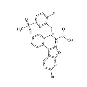 CC(C)(C)[S+]([O-])N[C@@H](Cc1nc(S(C)(=O)=O)ccc1F)c1ccccc1-c1noc2cc(Br)ccc12